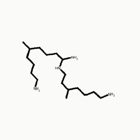 CC(CCCCN)CCCC(N)NCCC(C)CCCCN